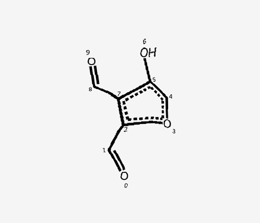 O=Cc1occ(O)c1C=O